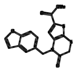 COC(=O)c1cc2c(s1)SCC(=O)N2Cc1ccc2occc2c1